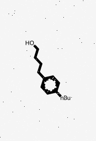 CCCCc1ccc(CCCCO)cc1